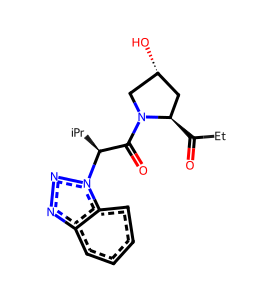 CCC(=O)[C@@H]1C[C@@H](O)CN1C(=O)[C@H](C(C)C)n1nnc2ccccc21